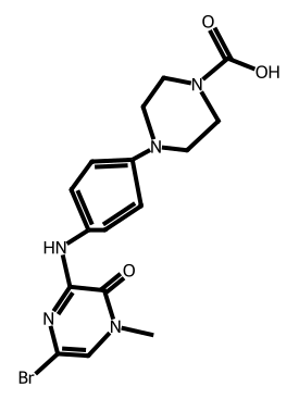 Cn1cc(Br)nc(Nc2ccc(N3CCN(C(=O)O)CC3)cc2)c1=O